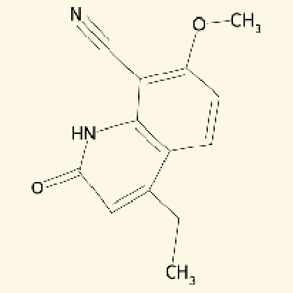 CCc1cc(=O)[nH]c2c(C#N)c(OC)ccc12